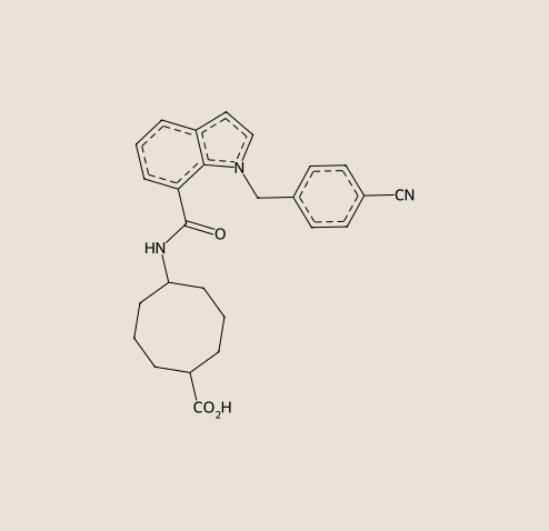 N#Cc1ccc(Cn2ccc3cccc(C(=O)NC4CCCC(C(=O)O)CCC4)c32)cc1